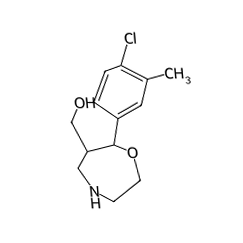 Cc1cc(C2OCCNCC2CO)ccc1Cl